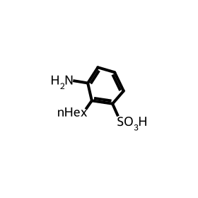 CCCCCCc1c(N)cccc1S(=O)(=O)O